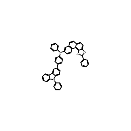 c1ccc(C2Nc3c(ccc4ccc5cc(N(c6ccccc6)c6ccc(-c7ccc8c(c7)c7ccccc7n8-c7ccccc7)cc6)ccc5c34)O2)cc1